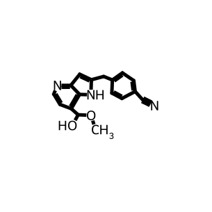 COC(O)c1ccnc2cc(Cc3ccc(C#N)cc3)[nH]c12